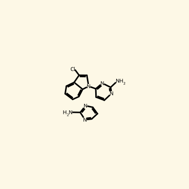 Nc1nccc(-n2cc(Cl)c3ccccc32)n1.Nc1ncccn1